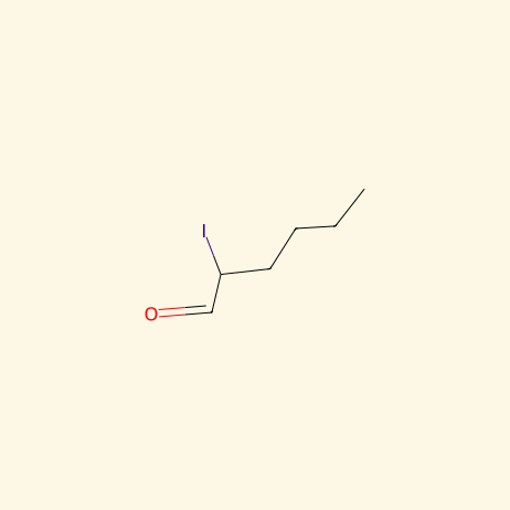 CCCCC(I)C=O